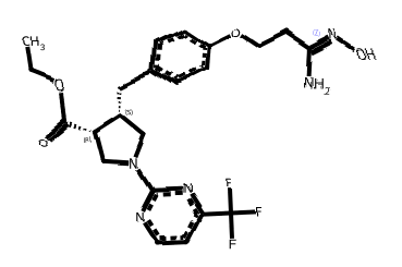 CCOC(=O)[C@H]1CN(c2nccc(C(F)(F)F)n2)C[C@H]1Cc1ccc(OCC/C(N)=N/O)cc1